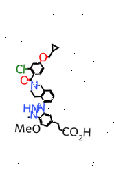 COc1cc(CCC(=O)O)cc2c1N(C)NN2c1cccc2c1CCN(C(=O)c1ccc(OCC3CC3)cc1Cl)C2